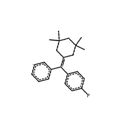 CC1(C)CC(=C(c2c[c]ccc2)c2ccc(F)cc2)CC(C)(C)C1